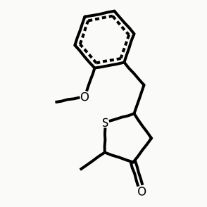 COc1ccccc1CC1CC(=O)C(C)S1